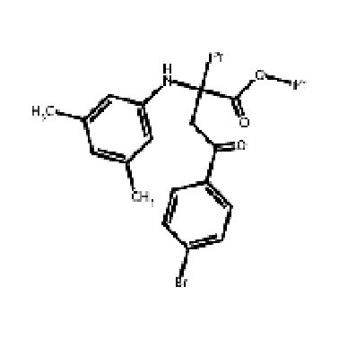 Cc1cc(C)cc(NC(CC(=O)c2ccc(Br)cc2)(C(=O)OC(C)C)C(C)C)c1